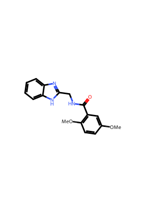 COc1ccc(OC)c(C(=O)NCc2nc3ccccc3[nH]2)c1